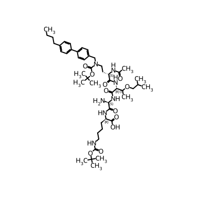 CCCCc1ccc(-c2ccc(CN(CC[C@H](NC(C)=O)C(=O)N[C@@H](C(=O)N[C@H](N)C(=O)N[C@H](CCCCNC(=O)OC(C)(C)C)C(=O)O)[C@H](C)OCC(C)C)C(=O)OC(C)(C)C)cc2)cc1